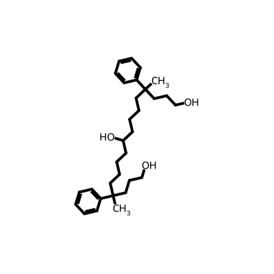 CC(CCCO)(CCCCC(O)CCCCC(C)(CCCO)c1ccccc1)c1ccccc1